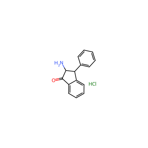 Cl.NC1C(=O)c2ccccc2C1c1ccccc1